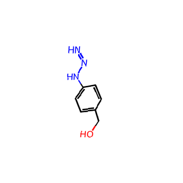 N=NNc1ccc(CO)cc1